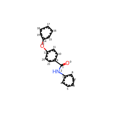 O=C(Nc1cc[c]cc1)c1ccc(Oc2ccccc2)cc1